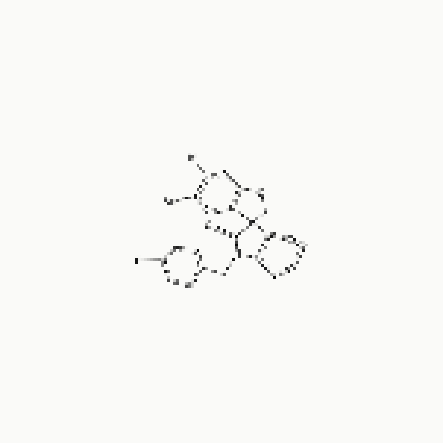 CC(=O)c1cc2c(cc1O)OCC21C(=O)N(Cc2ccc(F)cc2)c2ccccc21